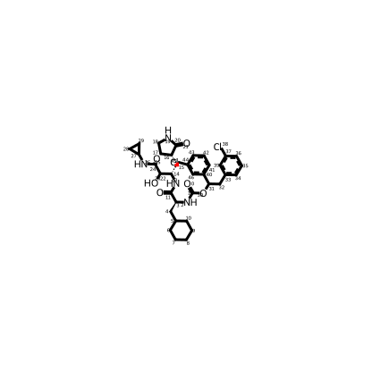 O=C(N[C@@H](CC1CCCCC1)C(=O)N[C@@H](C[C@@H]1CCNC1=O)C(O)C(=O)NC1CC1)OC(Cc1cccc(Cl)c1)c1cccc(Cl)c1